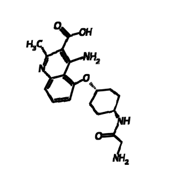 Cc1nc2cccc(O[C@H]3CC[C@H](NC(=O)CN)CC3)c2c(N)c1C(=O)O